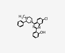 CN1CCN(c2nc(-c3ccccc3O)nc3cc(Cl)ccc23)CC1c1ccccc1